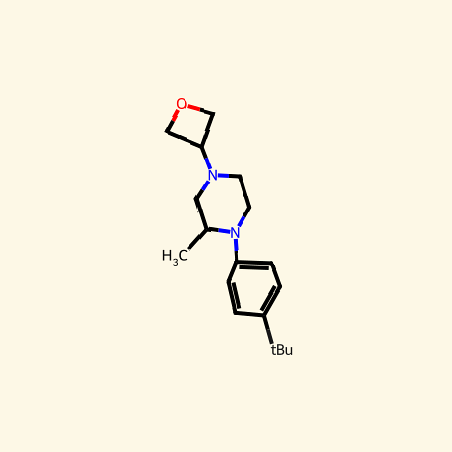 CC1CN(C2COC2)CCN1c1ccc(C(C)(C)C)cc1